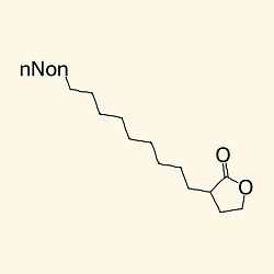 CCCCCCCCCCCCCCCCCCC1CCOC1=O